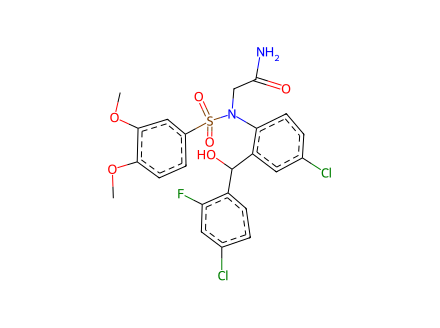 COc1ccc(S(=O)(=O)N(CC(N)=O)c2ccc(Cl)cc2C(O)c2ccc(Cl)cc2F)cc1OC